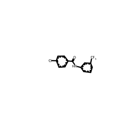 O=C(Nc1cccc(C(F)(F)F)c1)c1ccc(Cl)cc1